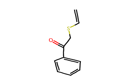 C=CSCC(=O)c1ccccc1